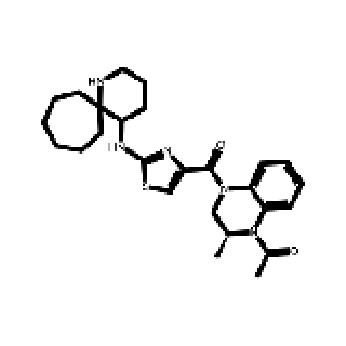 CC(=O)N1c2ccccc2N(C(=O)c2csc(NC3CCCNC34CCCCCC4)n2)C[C@@H]1C